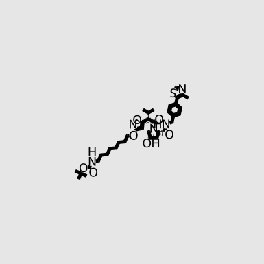 Cc1ncsc1-c1ccc(CNC(=O)[C@@H]2C[C@@H](O)CN2C(=O)[C@H](c2cc(OCCCCCCCCNC(=O)OC(C)(C)C)no2)C(C)C)cc1